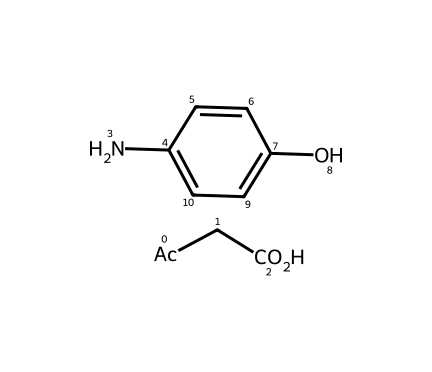 CC(=O)CC(=O)O.Nc1ccc(O)cc1